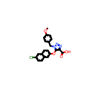 COc1ccc(Cn2nnc(C(=O)O)c2Oc2ccc3cc(Cl)ccc3c2)cc1